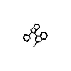 Clc1cc(-c2c(-c3ccccn3)nn3c2CCC3)c2ccccc2n1